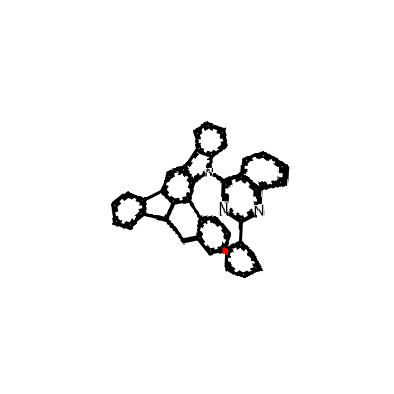 c1ccc(-c2nc(-n3c4ccccc4c4cc5c6c(c43)-c3ccccc3CC6c3ccccc3-5)c3ccccc3n2)cc1